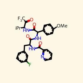 COc1ccc(C(NC(=O)C(Cc2cccc(F)c2)NC(=O)c2ccccn2)C(=O)NC(C(=O)C(F)(F)F)C(C)C)cc1